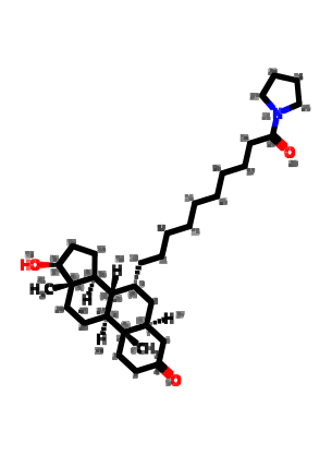 C[C@]12CCC(=O)C[C@@H]1C[C@@H](CCCCCCCCCC(=O)N1CCCC1)[C@@H]1[C@@H]2CC[C@]2(C)[C@@H](O)CC[C@@H]12